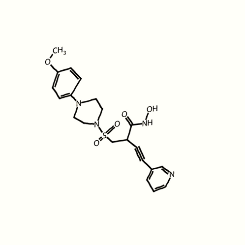 COc1ccc(N2CCN(S(=O)(=O)CC(C#Cc3cccnc3)C(=O)NO)CC2)cc1